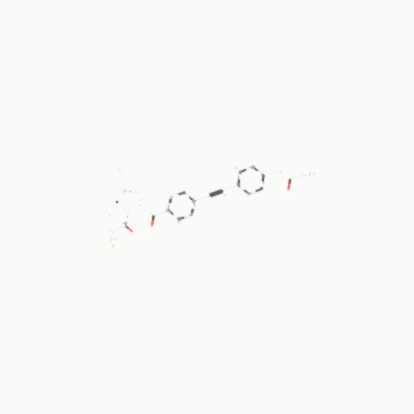 CNC(=O)Nc1ccc(C#Cc2ccc(C(=O)N[C@H](C(=O)NO)C(C)(N)C(F)F)cc2)cc1